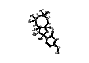 CCOc1ccn([C@]2(C#N)O[C@@H]3CO[Si](C(C)C)(C(C)C)O[Si](C(C)C)(C(C)C)O[C@H]3[C@H]2O)c(=O)n1